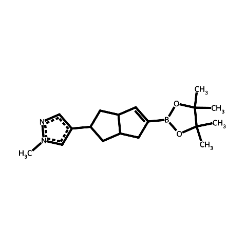 Cn1cc(C2CC3C=C(B4OC(C)(C)C(C)(C)O4)CC3C2)cn1